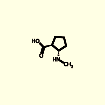 CN[C@H]1CCC[C@@H]1C(=O)O